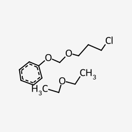 CCOCC.ClCCCOCOc1ccccc1